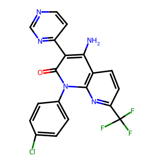 Nc1c(-c2ccncn2)c(=O)n(-c2ccc(Cl)cc2)c2nc(C(F)(F)F)ccc12